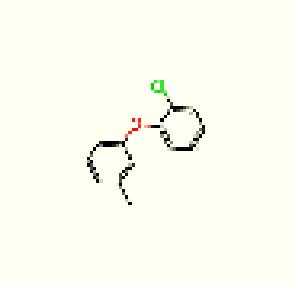 Cc1cccc(Oc2c[c]ccc2Cl)c1